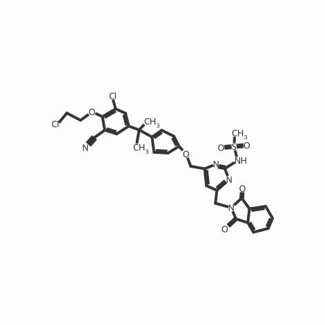 CC(C)(c1ccc(OCc2cc(CN3C(=O)c4ccccc4C3=O)nc(NS(C)(=O)=O)n2)cc1)c1cc(Cl)c(OCCCl)c(C#N)c1